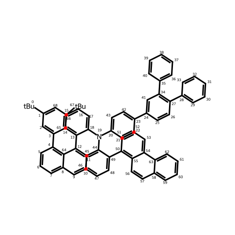 CC(C)(C)c1cc(-c2cccc3cccc(-c4ccccc4N(c4ccc(-c5ccc(-c6ccccc6)c(-c6ccccc6)c5)cc4)c4ccccc4-c4cccc5c4ccc4ccccc45)c23)cc(C(C)(C)C)c1